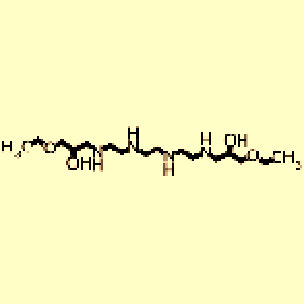 CCOCC(O)CNCCNCCNCCNCC(O)COCC